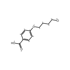 O=C(O)c1ccc(OCCCCCl)cc1